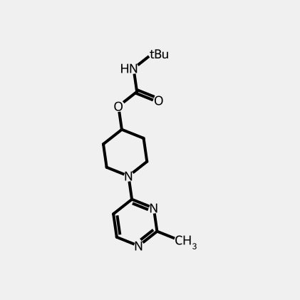 Cc1nccc(N2CCC(OC(=O)NC(C)(C)C)CC2)n1